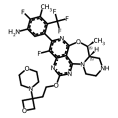 Cc1c(F)c(N)cc(-c2nc3c4c(nc(OCCC5(N6CCOCC6)COC5)nc4c2F)N2CCNC[C@H]2[C@H](C)O3)c1C(F)(F)F